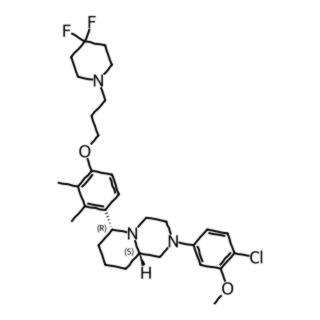 COc1cc(N2CCN3[C@@H](CCC[C@@H]3c3ccc(OCCCN4CCC(F)(F)CC4)c(C)c3C)C2)ccc1Cl